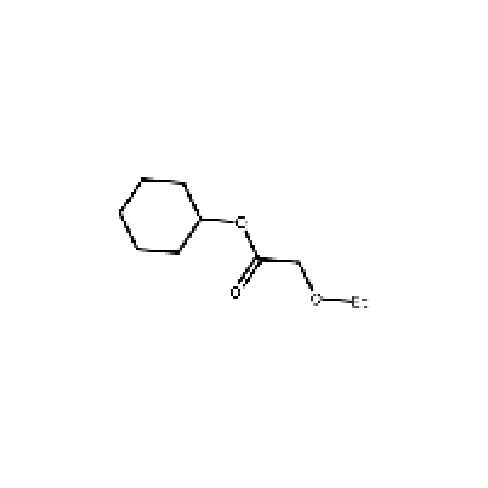 CCOCC(=O)OC1CCCCC1